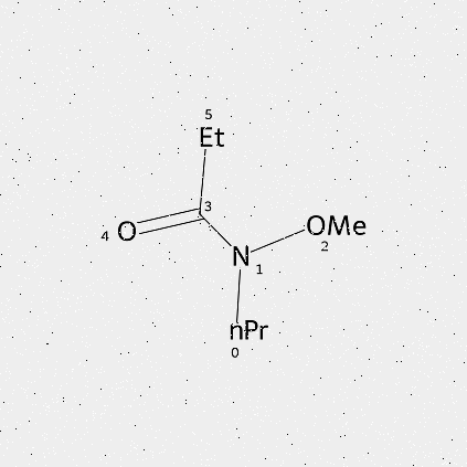 CCCN(OC)C(=O)CC